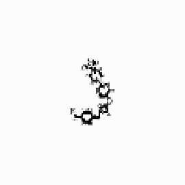 CS(=O)(=O)N1CCN(c2ncc(OC3CN(Cc4ccc(CF)cc4)C3)cn2)CC1